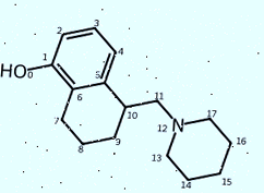 Oc1cccc2c1CCCC2CN1CCCCC1